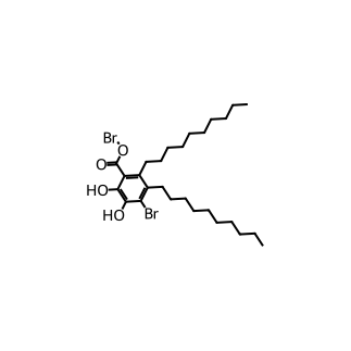 CCCCCCCCCCc1c(Br)c(O)c(O)c(C(=O)OBr)c1CCCCCCCCCC